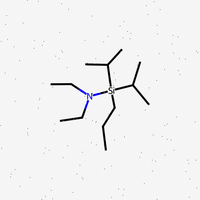 CCC[Si](C(C)C)(C(C)C)N(CC)CC